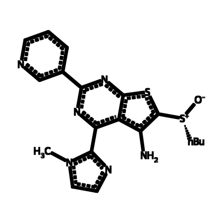 CCCC[S@@+]([O-])c1sc2nc(-c3cccnc3)nc(-c3nccn3C)c2c1N